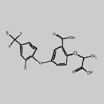 CC(Oc1ccc(Oc2ccc(C(F)(F)F)cc2Cl)cc1C(=O)O)C(=O)O